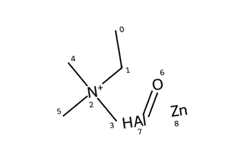 CC[N+](C)(C)C.[O]=[AlH].[Zn]